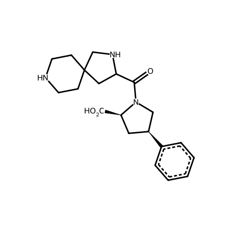 O=C(O)[C@@H]1C[C@H](c2ccccc2)CN1C(=O)C1CC2(CCNCC2)CN1